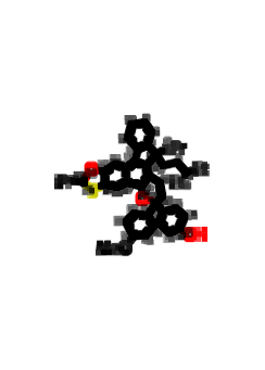 CCCC1(CCC(CC)CC)c2ccccc2-c2c1c1c(c3cc4c(cc23)OC(C(C)C)S4)OC(c2ccc(O)cc2)(c2ccc(OC)cc2)C=C1